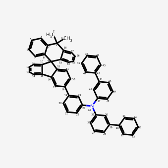 CC1(C)c2ccccc2C2(c3ccccc3-c3cc(-c4cccc(N(c5cccc(-c6ccccc6)c5)c5cccc(-c6ccccc6)c5)c4)ccc32)c2ccccc21